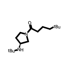 CC(C)(C)CCCC(=O)N1CC[C@H](NC(C)(C)C)C1